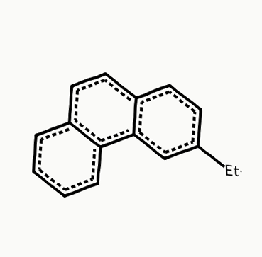 C[CH]c1ccc2ccc3ccccc3c2c1